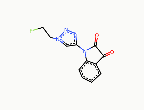 O=C1C(=O)N(c2cn(CCF)nn2)c2ccccc21